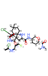 C=C(Cl)/N=C\C=C(/F)[C@H]1[C@H](C(=O)N[C@@H]2CC[C@@H](C(=O)N(C)C)OC2)NC2(CCC(C)(C)CC2)[C@@]12C(=O)Nc1cc(Cl)ccc12